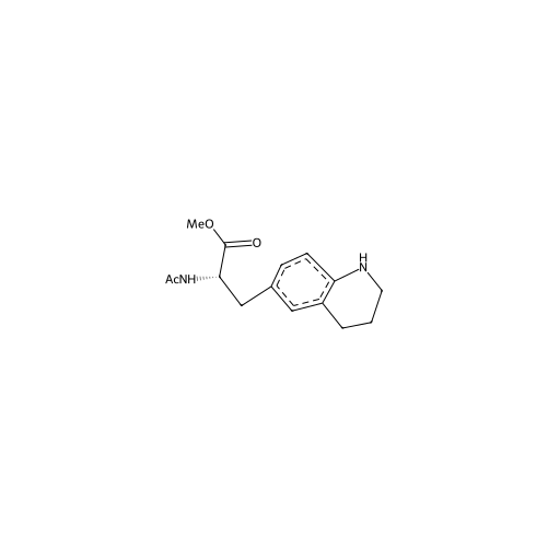 COC(=O)[C@H](Cc1ccc2c(c1)CCCN2)NC(C)=O